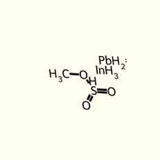 CO[SH](=O)=O.[InH3].[PbH2]